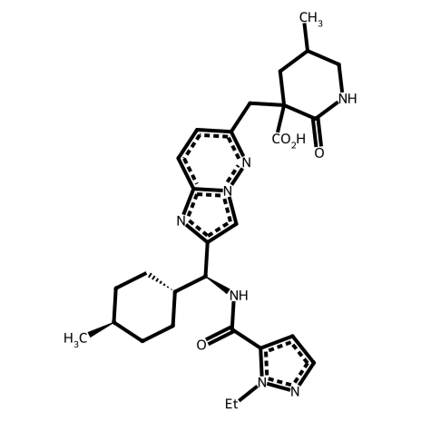 CCn1nccc1C(=O)N[C@H](c1cn2nc(CC3(C(=O)O)CC(C)CNC3=O)ccc2n1)[C@H]1CC[C@H](C)CC1